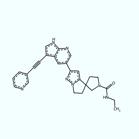 CCNC(=O)N1CCC2(CCn3nc(-c4cnc5[nH]cc(C#Cc6cccnc6)c5c4)cc32)C1